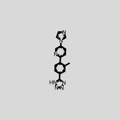 Cc1cc(-c2nnn[nH]2)ccc1-c1ccc(-n2ccnc2)cn1